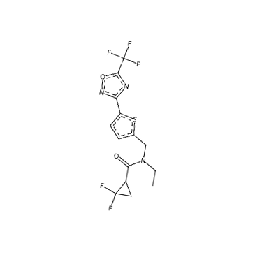 CCN(Cc1ccc(-c2noc(C(F)(F)F)n2)s1)C(=O)C1CC1(F)F